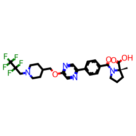 C[C@@]1(C(=O)O)CCCN1C(=O)c1ccc(-c2cnc(OCC3CCN(CC(F)(F)C(F)(F)F)CC3)cn2)cc1